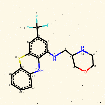 FC(F)(F)c1cc(NCC2COCCN2)c2c(c1)Sc1ccccc1N2